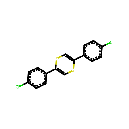 Clc1ccc(C2=CSC(c3ccc(Cl)cc3)=CS2)cc1